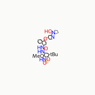 COc1c(NC(=O)Nc2ccc(Oc3ccnc(C(O)N4CCCC4)c3)c3ccccc23)cc(C(C)(C)C)cc1NS(C)(=O)=O